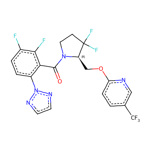 O=C(c1c(-n2nccn2)ccc(F)c1F)N1CCC(F)(F)[C@H]1COc1ccc(C(F)(F)F)cn1